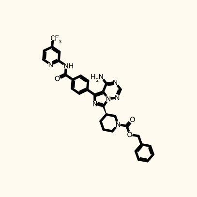 Nc1ncnn2c([C@@H]3CCCN(C(=O)OCc4ccccc4)C3)nc(-c3ccc(C(=O)Nc4cc(C(F)(F)F)ccn4)cc3)c12